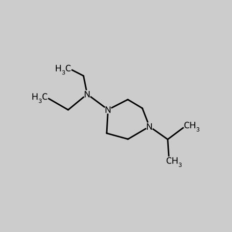 CCN(CC)N1CCN(C(C)C)CC1